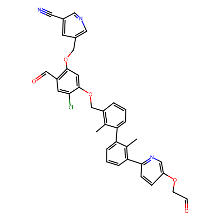 Cc1c(COc2cc(OCc3cncc(C#N)c3)c(C=O)cc2Cl)cccc1-c1cccc(-c2ccc(OCC=O)cn2)c1C